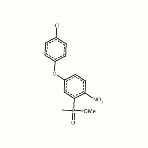 COP(C)(=O)c1cc(Oc2ccc(Cl)cc2)ccc1[N+](=O)[O-]